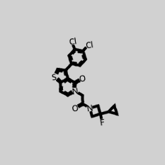 O=C(Cn1ccc2scc(-c3ccc(Cl)c(Cl)c3)c2c1=O)N1CC(F)(C2CC2)C1